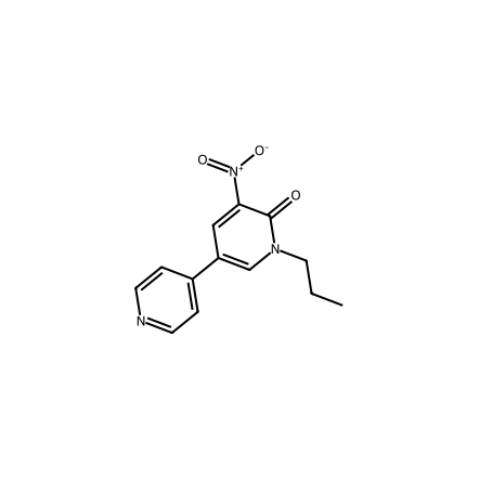 CCCn1cc(-c2ccncc2)cc([N+](=O)[O-])c1=O